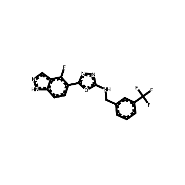 Fc1c(-c2nnc(NCc3cccc(C(F)(F)F)c3)o2)ccc2[nH]ncc12